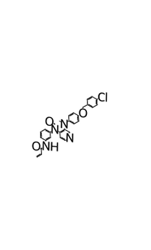 C=CC(=O)Nc1cccc(N(C=O)c2ccncc2N(C)c2ccc(OCc3ccc(Cl)cc3)cc2)c1